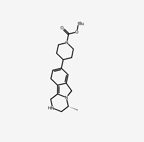 C[C@@H]1CNCC2=C3CC=C(C4CCN(C(=O)OC(C)(C)C)CC4)C=C3CN21